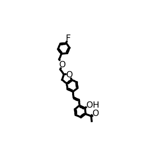 CC(=O)c1cccc(/C=C/c2ccc3c(c2)CC(COCc2ccc(F)cc2)O3)c1O